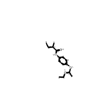 CCOC(C)Oc1ccc(OC(=O)C(C)CC)cc1